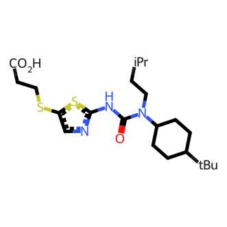 CC(C)CCN(C(=O)Nc1ncc(SCCC(=O)O)s1)C1CCC(C(C)(C)C)CC1